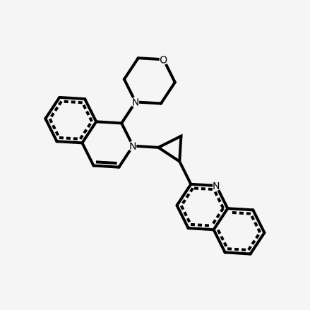 C1=CN(C2CC2c2ccc3ccccc3n2)C(N2CCOCC2)c2ccccc21